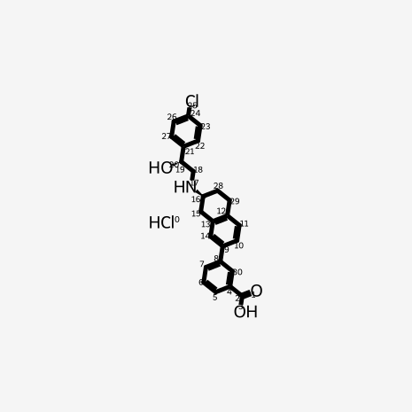 Cl.O=C(O)c1cccc(-c2ccc3c(c2)C[C@@H](NC[C@H](O)c2ccc(Cl)cc2)CC3)c1